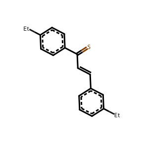 CCc1ccc(C(=S)C=Cc2cccc(CC)c2)cc1